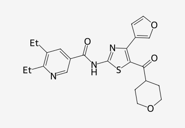 CCc1cc(C(=O)Nc2nc(-c3ccoc3)c(C(=O)C3CCOCC3)s2)cnc1CC